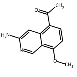 COc1ccc(C(C)=O)c2cc(N)ncc12